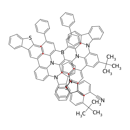 CC(C)(C)c1cc(-c2ccc3sc4ccc(C(C)(C)C)cc4c3c2)c(N2c3ccc(-c4ccccc4)cc3B3c4cc(-c5ccccc5)ccc4N(c4c(-c5ccc6sc7ccccc7c6c5)cccc4-n4c5ccccc5c5ccccc54)c4cc(-n5c6ccccc6c6cc(C#N)ccc65)cc2c43)c(-n2c3ccccc3c3ccccc32)c1